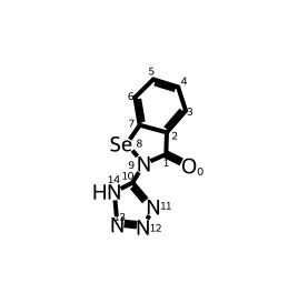 O=c1c2ccccc2[se]n1-c1nnn[nH]1